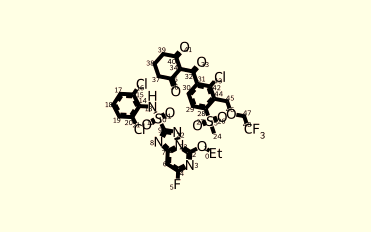 CCOc1nc(F)cc2nc(S(=O)(=O)Nc3c(Cl)cccc3Cl)nn12.CS(=O)(=O)c1ccc(C(=O)C2C(=O)CCCC2=O)c(Cl)c1COCC(F)(F)F